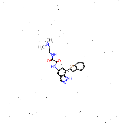 CN(C)CCNC(=O)C(=O)Nc1cc(-c2cc3ccccc3s2)c2[nH]ncc2c1